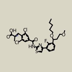 CCCCCOC(CCOC)c1cccc(-c2csc(NC(=O)c3cc(Cl)c(/C=C(\C)C(=O)O)c(Cl)c3)n2)c1F